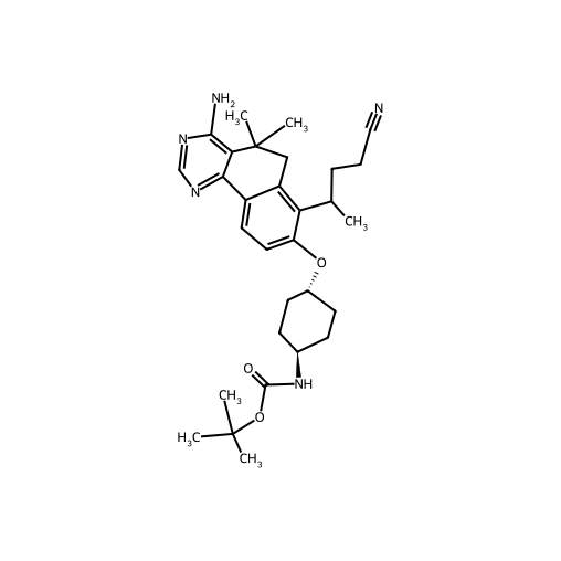 CC(CCC#N)c1c(O[C@H]2CC[C@H](NC(=O)OC(C)(C)C)CC2)ccc2c1CC(C)(C)c1c(N)ncnc1-2